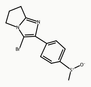 C[S+]([O-])c1ccc(-c2nc3n(c2Br)CCC3)cc1